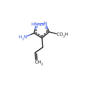 C=CCc1c(C(=O)O)n[nH]c1N